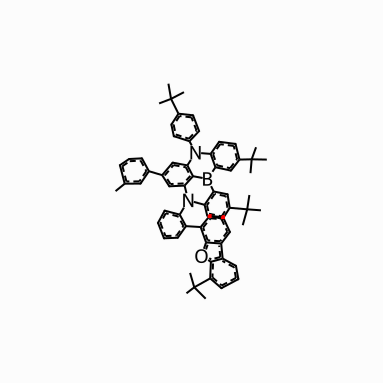 Cc1cccc(-c2cc3c4c(c2)N(c2ccccc2-c2cccc5c2oc2c(C(C)(C)C)cccc25)c2ccc(C(C)(C)C)cc2B4c2cc(C(C)(C)C)ccc2N3c2ccc(C(C)(C)C)cc2)c1